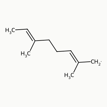 [CH2]C(C)=CCC/C(C)=C/C